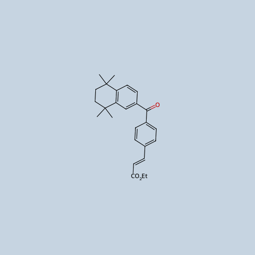 CCOC(=O)C=Cc1ccc(C(=O)c2ccc3c(c2)C(C)(C)CCC3(C)C)cc1